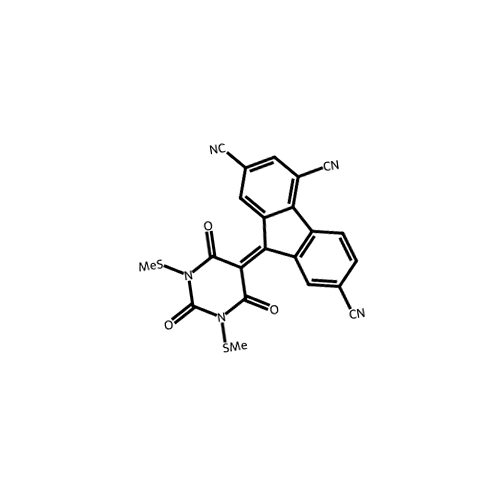 CSN1C(=O)C(=C2c3cc(C#N)ccc3-c3c(C#N)cc(C#N)cc32)C(=O)N(SC)C1=O